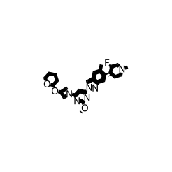 COc1nc(N2CC(OC3CCCCO3)C2)cc(-n2cc3cc(C)c([C@@H]4CCN(C)C[C@@H]4F)cc3n2)n1